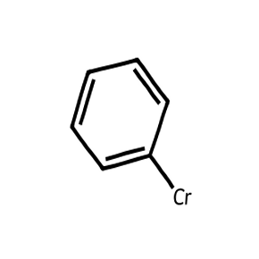 [Cr][c]1ccccc1